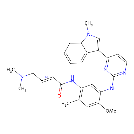 COc1cc(C)c(NC(=O)/C=C/CN(C)C)cc1Nc1nccc(-c2cn(C)c3ccccc23)n1